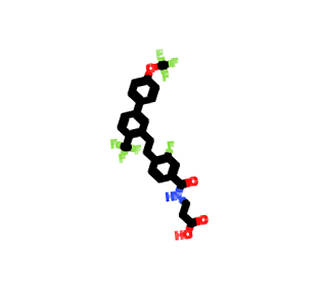 O=C(O)CCNC(=O)c1ccc(CCc2cc(-c3ccc(OC(F)(F)F)cc3)ccc2C(F)(F)F)c(F)c1